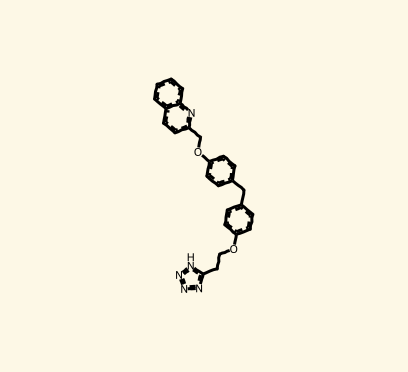 c1ccc2nc(COc3ccc(Cc4ccc(OCCc5nnn[nH]5)cc4)cc3)ccc2c1